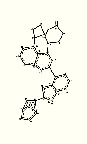 c1cc(-c2nc(N3CCNCC3)c3c(C4CCC4)cncc3n2)c2cc(-c3cc4ccc3o4)[nH]c2n1